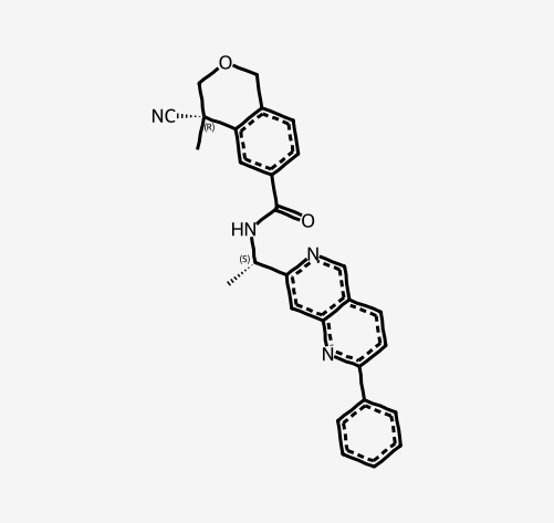 C[C@H](NC(=O)c1ccc2c(c1)[C@](C)(C#N)COC2)c1cc2nc(-c3ccccc3)ccc2cn1